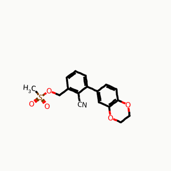 CS(=O)(=O)OCc1cccc(-c2ccc3c(c2)OCCO3)c1C#N